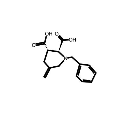 C=C1C[C@H](C(=O)O)[C@@H](C(=O)O)N(Cc2ccccc2)C1